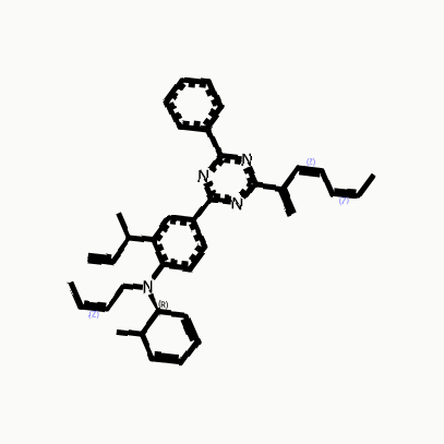 C=CC(C)c1cc(-c2nc(C(=C)/C=C\C=C/C)nc(-c3ccccc3)n2)ccc1N(C/C=C\C)[C@H]1C=CC=CC1C